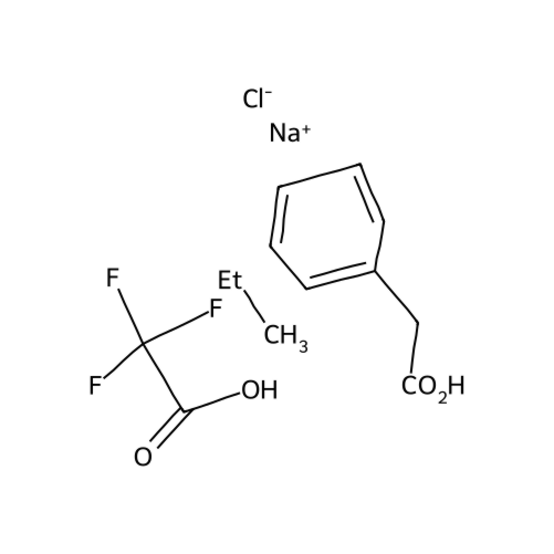 CCC.O=C(O)C(F)(F)F.O=C(O)Cc1ccccc1.[Cl-].[Na+]